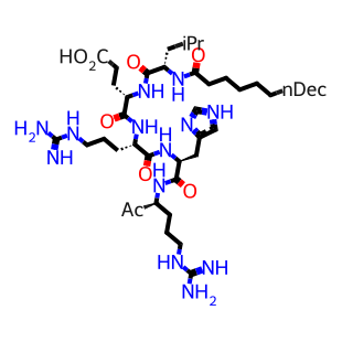 CCCCCCCCCCCCCCCC(=O)N[C@@H](CC(C)C)C(=O)N[C@@H](CCC(=O)O)C(=O)N[C@@H](CCCNC(=N)N)C(=O)N[C@@H](Cc1c[nH]cn1)C(=O)N[C@@H](CCCNC(=N)N)C(C)=O